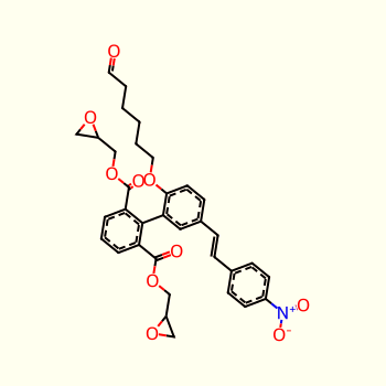 O=CCCCCCOc1ccc(C=Cc2ccc([N+](=O)[O-])cc2)cc1-c1c(C(=O)OCC2CO2)cccc1C(=O)OCC1CO1